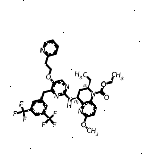 CCOC(=O)N1c2ccc(OC)nc2[C@@H](Nc2ncc(OCCc3ccccn3)c(Cc3cc(C(F)(F)F)cc(C(F)(F)F)c3)n2)C[C@H]1CC